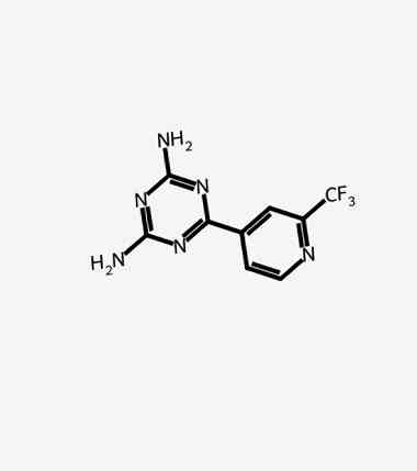 Nc1nc(N)nc(-c2ccnc(C(F)(F)F)c2)n1